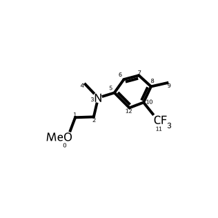 COCCN(C)c1ccc(C)c(C(F)(F)F)c1